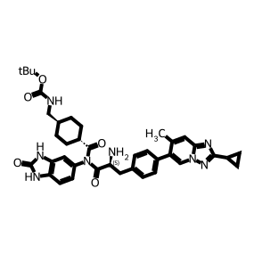 Cc1cc2nc(C3CC3)nn2cc1-c1ccc(C[C@H](N)C(=O)N(c2ccc3[nH]c(=O)[nH]c3c2)C(=O)[C@H]2CC[C@H](CNC(=O)OC(C)(C)C)CC2)cc1